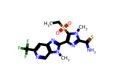 CCS(=O)(=O)c1c(-c2nc3cc(C(F)(F)F)ncc3n2C)nc(C(N)=S)n1C